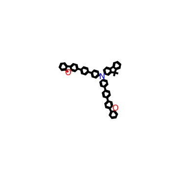 CC1(C)c2ccccc2-c2ccc(N(c3ccc(-c4ccc(-c5ccc6c(c5)oc5ccccc56)cc4)cc3)c3ccc(-c4ccc(-c5ccc6c(c5)oc5ccccc56)cc4)cc3)cc21